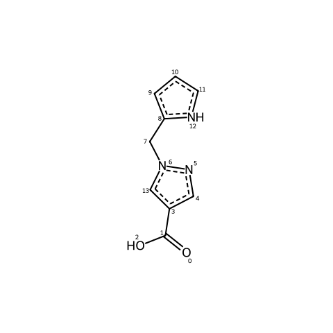 O=C(O)c1cnn(Cc2ccc[nH]2)c1